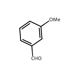 COc1[c]c(C=O)ccc1